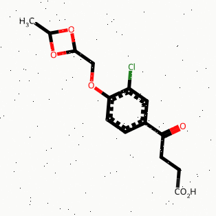 CC1OC(COc2ccc(C(=O)CCC(=O)O)cc2Cl)O1